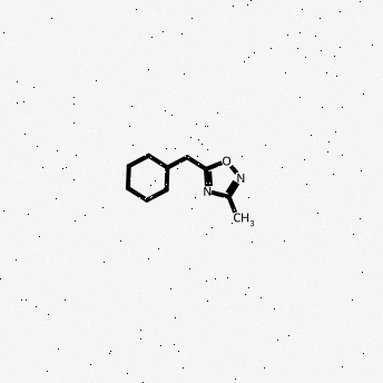 Cc1noc(CC2CCCCC2)n1